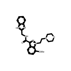 COc1cccc2c(C(=O)NCc3nc4ccccc4[nH]3)nn(CCN3CCOCC3)c12